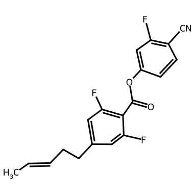 CC=CCCc1cc(F)c(C(=O)Oc2ccc(C#N)c(F)c2)c(F)c1